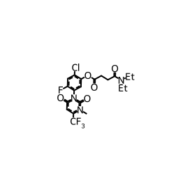 CCN(CC)C(=O)CCC(=O)Oc1cc(-n2c(=O)cc(C(F)(F)F)n(C)c2=O)c(F)cc1Cl